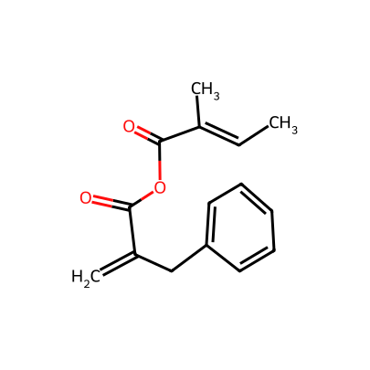 C=C(Cc1ccccc1)C(=O)OC(=O)C(C)=CC